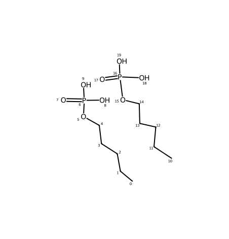 CCCCCOP(=O)(O)O.CCCCCOP(=O)(O)O